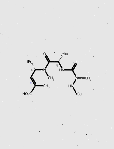 C/C(=C\[C@H](C(C)C)N(C)C(=O)[C@@H](NC(=O)N(C)NC(C)(C)C)C(C)(C)C)C(=O)O